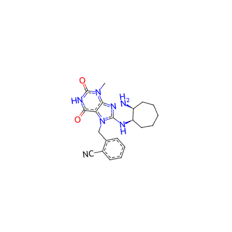 Cn1c(=O)[nH]c(=O)c2c1nc(N[C@@H]1CCCCC[C@@H]1N)n2Cc1ccccc1C#N